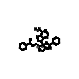 Nc1ncnc2c1ncn2[C@@]1(OC(=O)c2ccccc2)[C@@H](O)CO[C@@H]1COC(=O)c1ccccc1